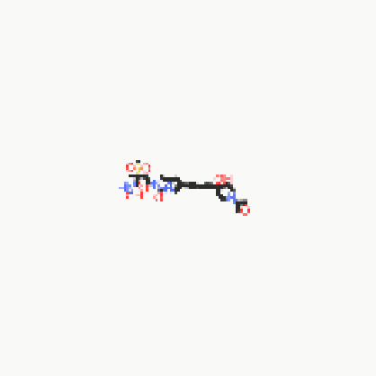 C[C@@](CCN1Cc2cc(C#CC#CC3(O)CCN(C4COC4)CC3)cn2C1=O)(C(=O)NO)S(C)(=O)=O